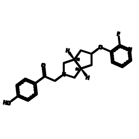 O=C(CN1C[C@H]2CC(Oc3cccnc3F)C[C@H]2C1)c1ccc(O)cc1